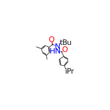 Cc1cc(C)cc(C(=O)N(NC(=O)c2ccc(C(C)C)cc2)C(C)(C)C)c1